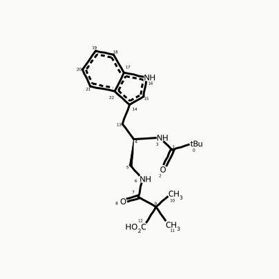 CC(C)(C)C(=O)N[C@@H](CNC(=O)C(C)(C)C(=O)O)Cc1c[nH]c2ccccc12